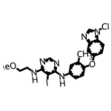 COCCNc1ncnc(Nc2ccc(Oc3ccc4c(c3)ncn4C)c(C)c2)c1I